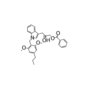 CCCc1cc(OC)c(Cn2cc(C[C@H](O)COC(=O)c3ccccc3)c3ccccc32)c(OC)c1